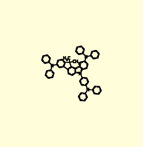 CC1(C)c2ccc(N(c3ccccc3)c3ccccc3)cc2-c2ccc3c(c21)c1cc(N(c2ccccc2)c2ccccc2)ccc1n3-c1ccc(N(c2ccccc2)c2ccccc2)cc1